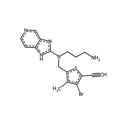 C#Cc1sc(CN(CCCN)c2nc3cnccc3[nH]2)c(C)c1Br